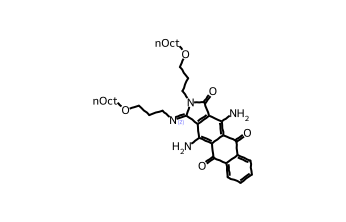 CCCCCCCCOCCC/N=c1/c2c(N)c3c(=O)c4ccccc4c(=O)c3c(N)c2c(=O)n1CCCOCCCCCCCC